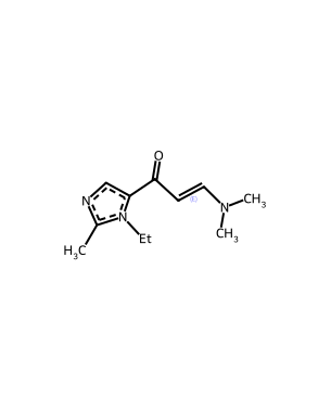 CCn1c(C(=O)/C=C/N(C)C)cnc1C